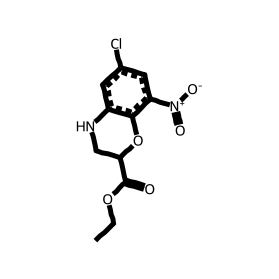 CCOC(=O)C1CNc2cc(Cl)cc([N+](=O)[O-])c2O1